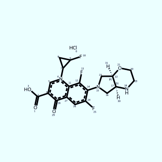 Cl.O=C(O)c1cn(C2CC2F)c2c(F)c(N3C[C@@H]4NCCO[C@@H]4C3)c(F)cc2c1=O